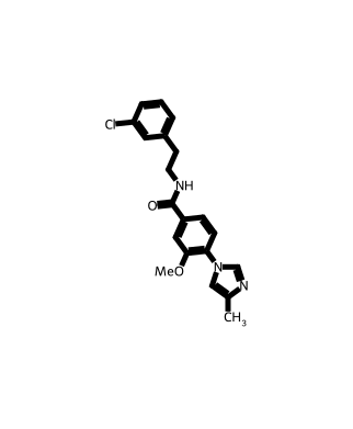 COc1cc(C(=O)NCCc2cccc(Cl)c2)ccc1-n1cnc(C)c1